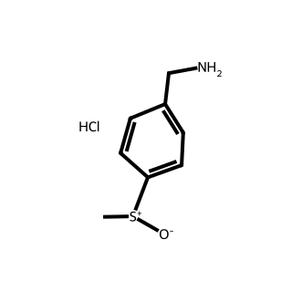 C[S+]([O-])c1ccc(CN)cc1.Cl